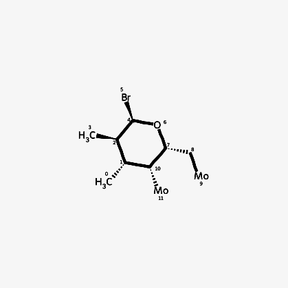 C[C@@H]1[C@@H](C)[C@@H](Br)O[C@H]([CH2][Mo])[C@@H]1[Mo]